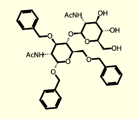 CC(=O)N[C@H]1[C@H](O[C@H]2[C@H](OCc3ccccc3)[C@@H](NC(C)=O)[C@@H](OCc3ccccc3)O[C@@H]2COCc2ccccc2)O[C@H](CO)[C@@H](O)[C@@H]1O